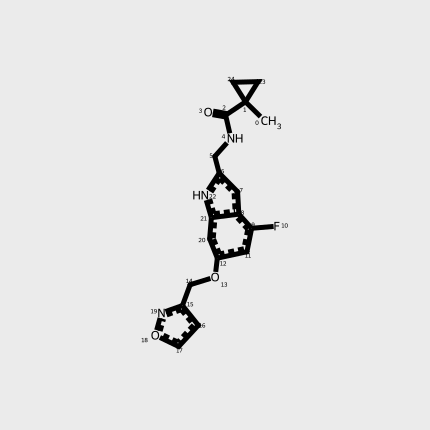 CC1(C(=O)NCc2cc3c(F)cc(OCc4ccon4)cc3[nH]2)CC1